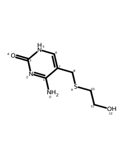 Nc1nc(=O)[nH]cc1CSCCO